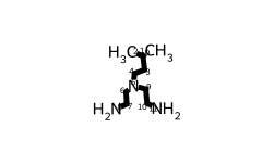 CC(C)CCN(CCN)CCN